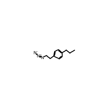 CCCc1ccc(CCN=[N+]=[N-])cc1